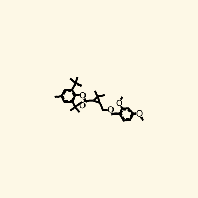 COc1ccc(COCC2C(C(=O)Oc3c(C(C)(C)C)cc(C)cc3C(C)(C)C)C2(C)C)c(OC)c1